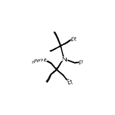 CCCCCC(C)(CC)N(CC)C(C)(C)CC